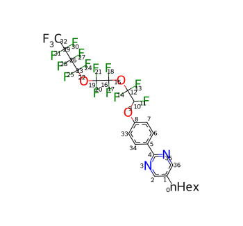 CCCCCCc1cnc(-c2ccc(OC(F)C(F)(F)OC(F)(F)C(F)(F)OC(F)(F)C(F)(F)C(F)(F)C(F)(F)F)cc2)nc1